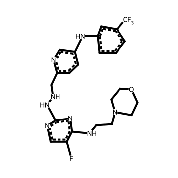 Fc1cnc(NNCc2ccc(Nc3cccc(C(F)(F)F)c3)cn2)nc1NCCN1CCOCC1